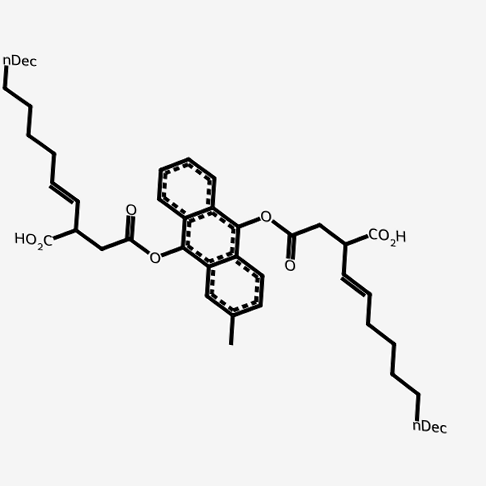 CCCCCCCCCCCCCCC=CC(CC(=O)Oc1c2ccccc2c(OC(=O)CC(C=CCCCCCCCCCCCCCC)C(=O)O)c2cc(C)ccc12)C(=O)O